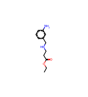 CCOC(=O)CCNCc1cccc(N)c1